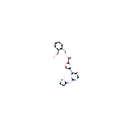 COCc1ccccc1CNC(=O)c1nc(-c2nc(Nc3ccnn3C)ncc2C)co1